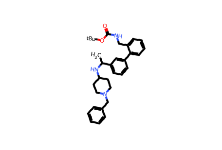 CC(NC1CCN(Cc2ccccc2)CC1)c1cccc(-c2ccccc2CNC(=O)OC(C)(C)C)c1